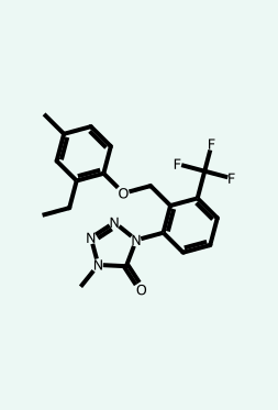 CCc1cc(C)ccc1OCc1c(-n2nnn(C)c2=O)cccc1C(F)(F)F